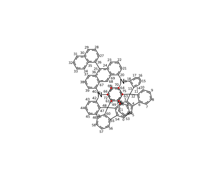 c1ccc2c(c1)-c1ccccc1C21c2ccccc2N(c2cccc3c(-c4cccc5ccccc45)c4cccc(N5c6ccccc6C6(c7ccccc7-c7ccccc76)c6ccccc65)c4cc23)c2ccccc21